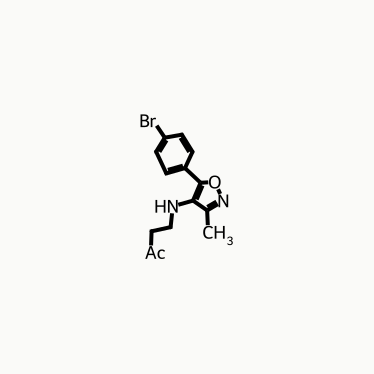 CC(=O)CCNc1c(C)noc1-c1ccc(Br)cc1